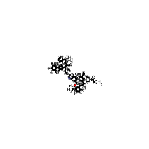 C=CC(=O)N1CCN(c2c(C#N)c(=O)n(-c3c(C)cc(/C=C\C(=O)N4CCN(c5c(C#N)c(=O)n(-c6c(C)ccnc6C(C)C)c6nc(-c7c(F)c(F)c(F)c(F)c7F)c(Cl)cc56)CC4)nc3C(C)C)c3nc(-c4c(F)c(N)c(F)c(F)c4F)c(Cl)cc23)CC1